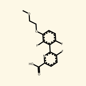 COCCOc1ccc(F)c(-c2nc(C(=O)O)ccc2F)c1F